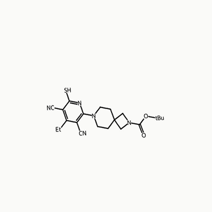 CCc1c(C#N)c(S)nc(N2CCC3(CC2)CN(C(=O)OC(C)(C)C)C3)c1C#N